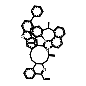 C=CC1=NC2CC(=C)[n+]3c(n4c5c6c(cccc6ccc53)C(C)c3cccc(C(C)C)c3-4)-c3cc4c(cc3CCC2c2ccccc21)oc1ccc(-c2ccccc2)cc14